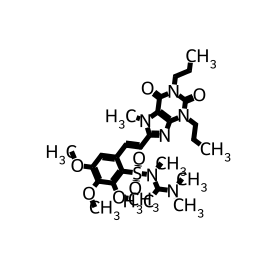 CCCn1c(=O)c2c(nc(/C=C/c3cc(OC)c(OC)c(OC)c3S(=O)(=O)N(C)C(C)N(C)C)n2C)n(CCC)c1=O